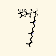 CC(C)=CCC/C(C)=C/CC/C(C)=C/COC(=O)P(C)NC(=O)OC(C)C(C)(C)O